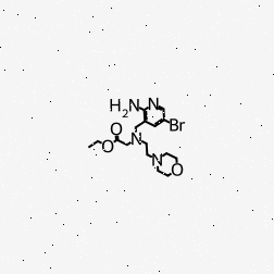 CCOC(=O)CN(CCN1CCOCC1)Cc1cc(Br)cnc1N